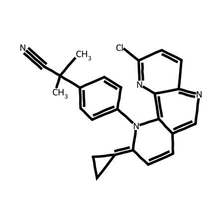 CC(C)(C#N)c1ccc(N2C(=C3CC3)C=Cc3cnc4ccc(Cl)nc4c32)cc1